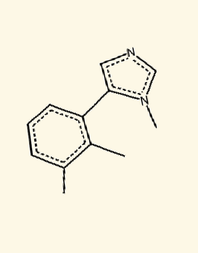 Cc1cccc(-c2cncn2C)c1C